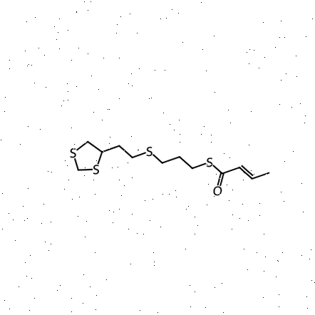 CC=CC(=O)SCCCSCCC1CSCS1